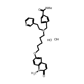 CNC(=O)c1ccc(CN(CCCCCOc2ccc3c(ccc(=O)n3C)c2)CCc2cccnc2)cc1.Cl.Cl